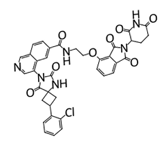 O=C1CCC(N2C(=O)c3cccc(OCCNC(=O)c4ccc5cncc(N6C(=O)NC7(CC(c8ccccc8Cl)C7)C6=O)c5c4)c3C2=O)C(=O)N1